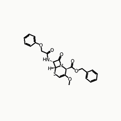 COC1=CS[C@@H]2[C@H](NC(=O)COc3ccccc3)C(=O)N2[C@H]1C(=O)OCc1ccccc1